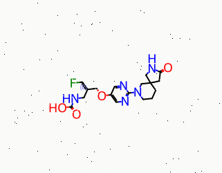 O=C(O)NC/C(=C\F)COc1cnc(N2CCCC3(CNC(=O)C3)C2)nc1